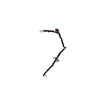 CCCCCCCCCCCCCCCCCCCCCCCCC(C(=O)O)[C@H](O)CCCCCCCCCCCCCCC[C@@H]1C[C@@H]1CCCCCCCCCCCCCCCCCC[C@H](O[C@@H]1CCCCO1)[C@@H](C)CCCCCCCCCCCCCCCCCC